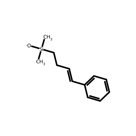 C[Si](C)([O])CCC=Cc1ccccc1